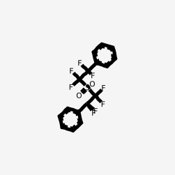 O=S(=O)(C(F)(F)C(F)(F)c1ccccc1)C(F)(F)C(F)(F)c1ccccc1